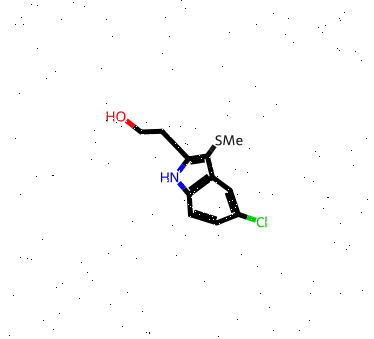 CSc1c(CCO)[nH]c2ccc(Cl)cc12